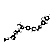 O=C1CC[C@H](c2c(F)cc(N3CC(C(=O)N4CCN(C5CCC(n6cc(NC(=O)c7coc(-c8ccnc(NCC9CC9)c8)n7)c(C(F)F)n6)CC5)C(=O)C4)C3)cc2F)C(=O)N1